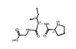 CC[C@H](C)[C@H](NC(=O)[C@@H]1CCCN1)C(=O)NCC(=O)O